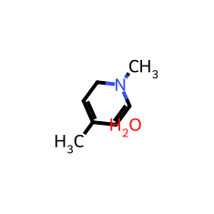 CC1=CCN(C)C=C1.O